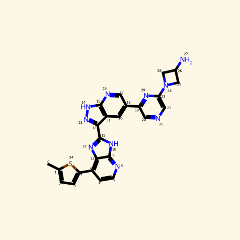 Cc1ccc(-c2ccnc3[nH]c(-c4n[nH]c5ncc(-c6cncc(N7CC(N)C7)n6)cc45)nc23)s1